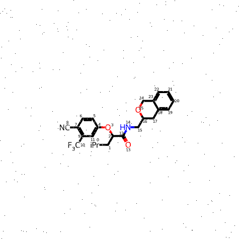 CC(C)CC(Oc1ccc(C#N)c(C(F)(F)F)c1)C(=O)NCC1Cc2ccccc2CO1